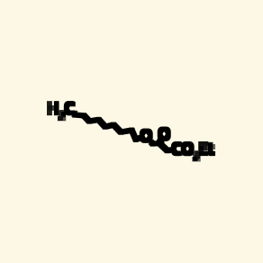 C=CCCCCCCCCOCC(=O)CC(=O)OCC